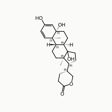 C[C@]12CC[C@H]3[C@@H](CC[C@]4(O)C=C(O)C=C[C@]34C)C1(O)CC[C@@H]2[C@H]1CCC(=O)OC1